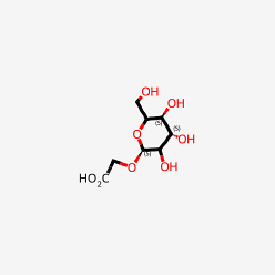 O=C(O)CO[C@H]1OC(CO)[C@@H](O)[C@H](O)C1O